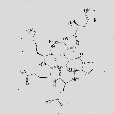 CC(C)[C@H](NC(=O)[C@H](C)NC(=O)[C@@H](N)Cc1c[nH]cn1)C(=O)N1CCC[C@H]1C(=O)N[C@@H](CCC(=O)O)C(=O)N[C@@H](CCC(N)=O)C(=O)N[C@@H](CCCCN)C(=O)O